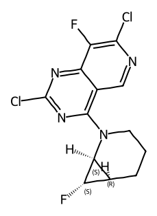 Fc1c(Cl)ncc2c(N3CCC[C@H]4[C@H](F)[C@H]43)nc(Cl)nc12